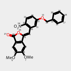 COc1cc2c(cc1OC)C(=Cc1cc(OCc3ccccc3)ccc1[N+](=O)[O-])OC2=O